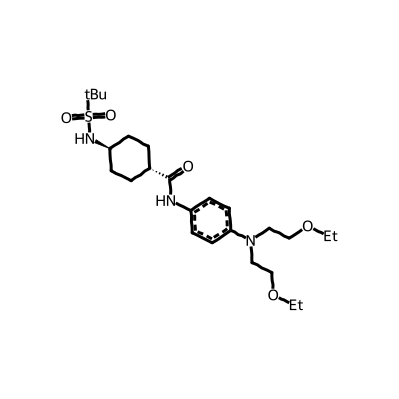 CCOCCN(CCOCC)c1ccc(NC(=O)[C@H]2CC[C@H](NS(=O)(=O)C(C)(C)C)CC2)cc1